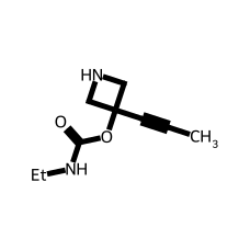 CC#CC1(OC(=O)NCC)CNC1